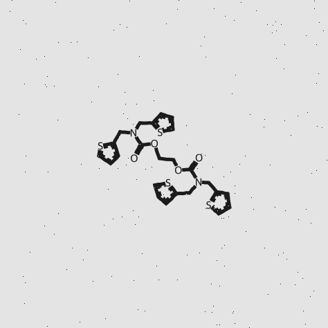 O=C(OCCOC(=O)N(Cc1cccs1)Cc1cccs1)N(Cc1cccs1)Cc1cccs1